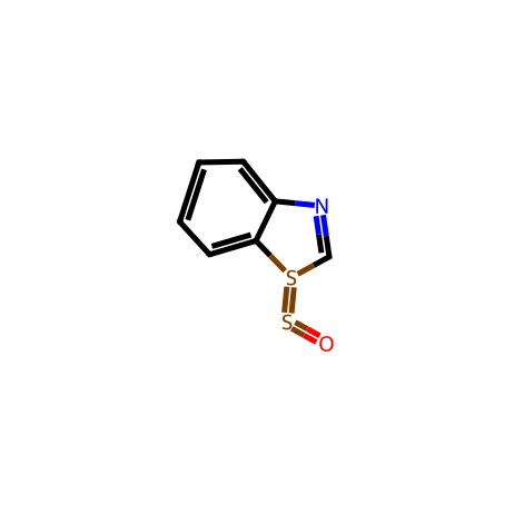 O=S=S1C=Nc2ccccc21